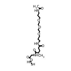 CC(=O)NCCCOCCOCCOCCCNC(=O)CC[C@H](C)C(=O)NCC(=O)ONS